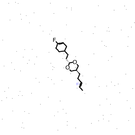 C/C=C/CC[C@H]1CO[C@H](CCC2CC=C(F)CC2)OC1